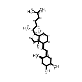 C=C1CC(O)[C](O)C/C1=C/C=C1\CCC[C@]2(C)[C@@H]([C@H](C)CCCC(C)C)CC[C@@H]12